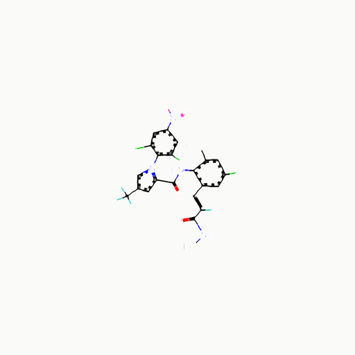 CNC(=O)C(F)=Cc1cc(Cl)cc(C)c1NC(=O)c1cc(C(F)(F)F)cn1-c1c(Cl)cc([N+](=O)[O-])cc1Cl